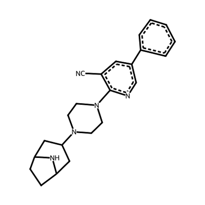 N#Cc1cc(-c2ccccc2)cnc1N1CCN(C2CC3CCC(C2)N3)CC1